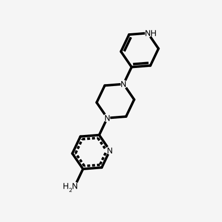 Nc1ccc(N2CCN(C3=CCNC=C3)CC2)nc1